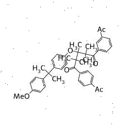 COc1ccc(C(C)(C)c2ccc(OC(C)(C(C)(C)C(=O)c3ccc(C(C)=O)cc3)C(C)(C)C(=O)c3cccc(C(C)=O)c3)cc2)cc1